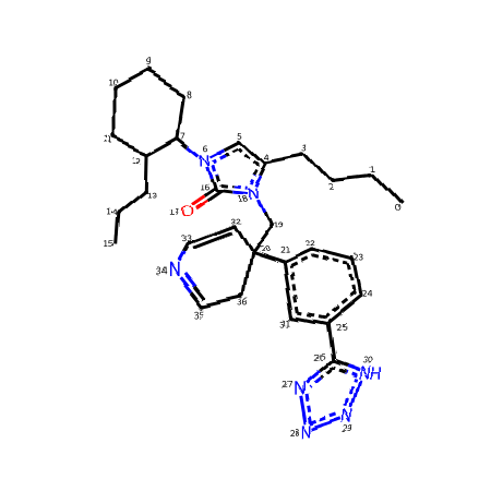 CCCCc1cn(C2CCCCC2CCC)c(=O)n1CC1(c2cccc(-c3nnn[nH]3)c2)C=CN=CC1